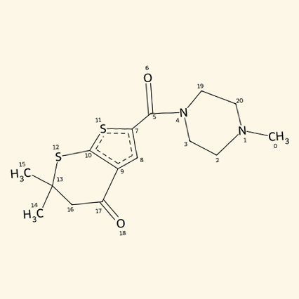 CN1CCN(C(=O)c2cc3c(s2)SC(C)(C)CC3=O)CC1